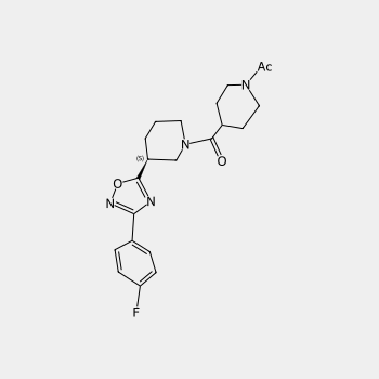 CC(=O)N1CCC(C(=O)N2CCC[C@H](c3nc(-c4ccc(F)cc4)no3)C2)CC1